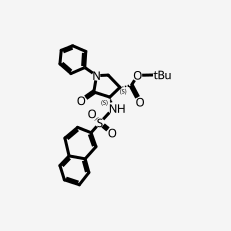 CC(C)(C)OC(=O)[C@H]1CN(c2ccccc2)C(=O)[C@H]1NS(=O)(=O)c1ccc2ccccc2c1